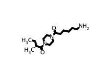 CC[C@@H](C)C(=O)N1CCN(C(=O)CCCCCN)CC1